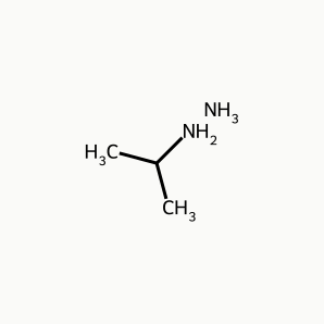 CC(C)N.N